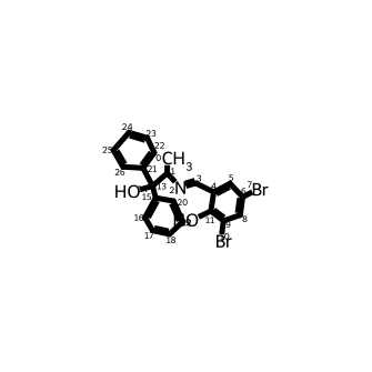 CC(N=Cc1cc(Br)cc(Br)c1O)C(O)(c1ccccc1)c1ccccc1